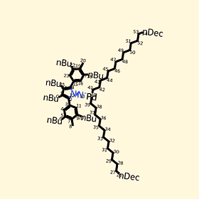 CCCCC1=C(c2cc(CCCC)c(C)c(CCCC)c2)[N+](=[N-])C(c2cc(CCCC)c(C)c(CCCC)c2)=C1CCCC.CCCCCCCCCCCCCCCCCCCCCC[CH2][Pd][CH2]CCCCCCCCCCCCCCCCCCCCCC